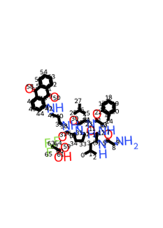 CC(C)C[C@H](NC(=O)CN)C(=O)N[C@@H](Cc1ccccc1)C(=O)N[C@@H](CC(C)C)C(=O)N1CCC[C@H]1C(=O)NCCCNc1cccc2c1C(=O)c1ccccc1C2=O.O=C(O)C(F)(F)F